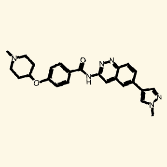 CN1CCC(Oc2ccc(C(=O)Nc3cc4cc(-c5cnn(C)c5)ccc4nn3)cc2)CC1